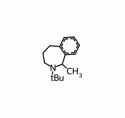 CC1c2ccccc2CCCN1C(C)(C)C